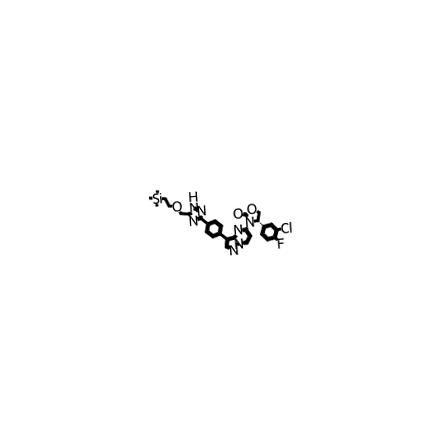 C[Si](C)(C)CCOCc1nc(-c2ccc(-c3cnn4ccc(N5C(=O)OC[C@@H]5c5ccc(F)c(Cl)c5)nc34)cc2)n[nH]1